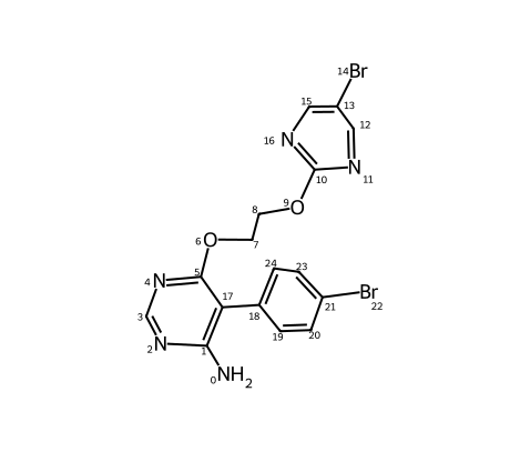 Nc1ncnc(OCCOc2ncc(Br)cn2)c1-c1ccc(Br)cc1